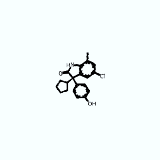 Cc1cc(Cl)cc2c1NC(=O)C2(c1ccc(O)cc1)C1CCCC1